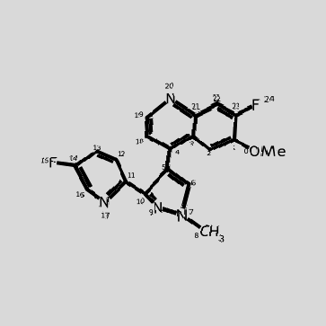 COc1cc2c(-c3cn(C)nc3-c3ccc(F)cn3)ccnc2cc1F